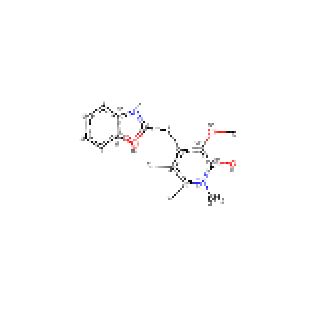 Bn1c(C)c(C)c(Cc2nc3ccccc3o2)c(OC)c1=O